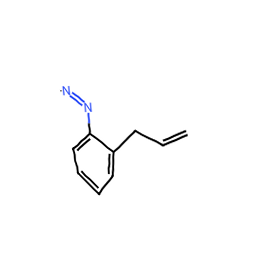 C=CCc1ccccc1N=[N]